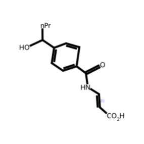 CCCC(O)c1ccc(C(=O)N/C=C/C(=O)O)cc1